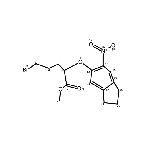 COC(=O)C(CCCBr)Oc1cc2c(cc1[N+](=O)[O-])CCC2